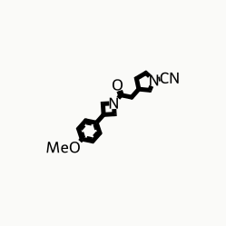 COc1ccc(C2CN(C(=O)CC3CCN(C#N)C3)C2)cc1